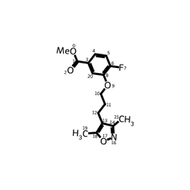 COC(=O)c1ccc(F)c(OCCCc2c(C)noc2C)c1